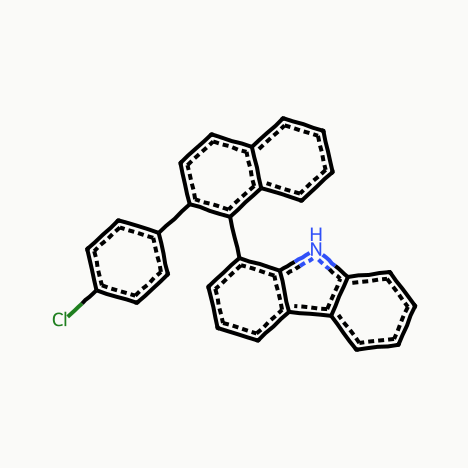 Clc1ccc(-c2ccc3ccccc3c2-c2cccc3c2[nH]c2ccccc23)cc1